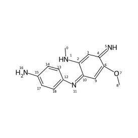 CNC1=CC(=N)C(OC)=C/C1=N/c1ccc(N)cc1